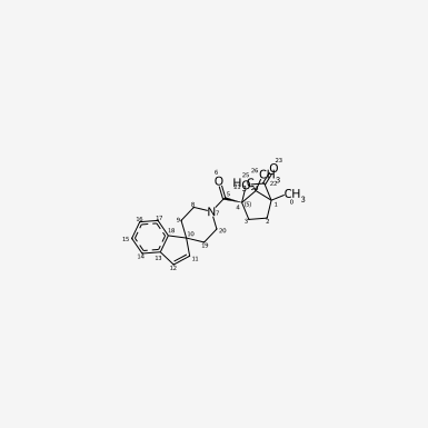 CC12CC[C@](C(=O)N3CCC4(C=Cc5ccccc54)CC3)(OC1=O)C2(C)C